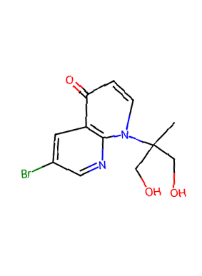 CC(CO)(CO)n1ccc(=O)c2cc(Br)cnc21